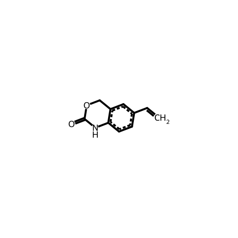 C=Cc1ccc2c(c1)COC(=O)N2